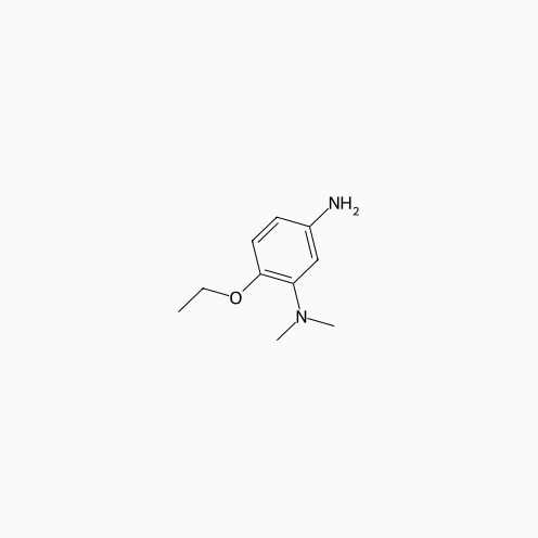 CCOc1ccc(N)cc1N(C)C